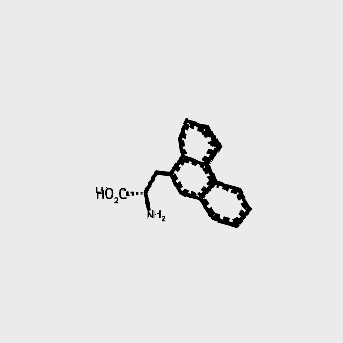 N[C@@H](Cc1cc2ccccc2c2ccccc12)C(=O)O